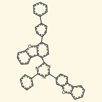 c1ccc(-c2ccc(-c3ccc(-c4nc(-c5ccccc5)nc(-c5ccc6c(c5)oc5ccccc56)n4)c4c3oc3ccccc34)cc2)cc1